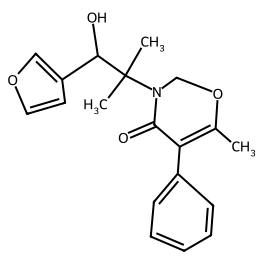 CC1=C(c2ccccc2)C(=O)N(C(C)(C)C(O)c2ccoc2)CO1